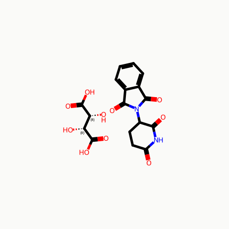 O=C(O)[C@H](O)[C@@H](O)C(=O)O.O=C1CCC(N2C(=O)c3ccccc3C2=O)C(=O)N1